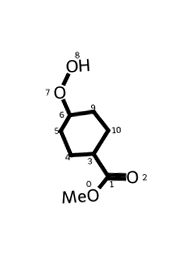 COC(=O)C1CCC(OO)CC1